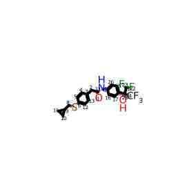 O=C(Cc1ccc(SCC2CC2)cc1)Nc1ccc(C(O)(C(F)F)C(F)(F)F)cc1